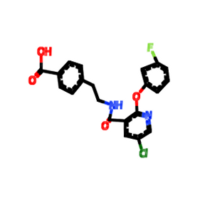 O=C(O)c1ccc(CCNC(=O)c2cc(Cl)cnc2Oc2cccc(F)c2)cc1